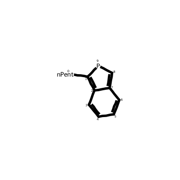 CCCCCC1=c2ccccc2=C[P]1